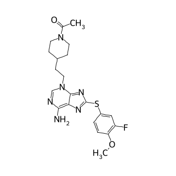 COc1ccc(Sc2nc3c(N)ncn(CCC4CCN(C(C)=O)CC4)c-3n2)cc1F